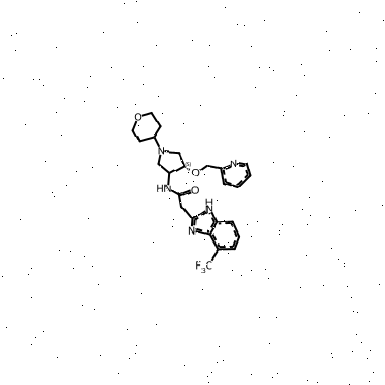 O=C(Cc1nc2c(C(F)(F)F)cccc2[nH]1)NC1CN(C2CCOCC2)C[C@@H]1OCc1ccccn1